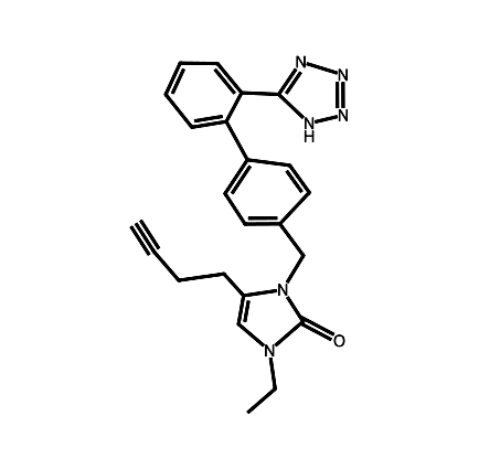 C#CCCc1cn(CC)c(=O)n1Cc1ccc(-c2ccccc2-c2nnn[nH]2)cc1